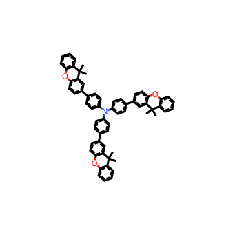 CC1(C)c2ccccc2Oc2ccc(-c3ccc(N(c4ccc(-c5ccc6c(c5)C(C)(C)c5ccccc5O6)cc4)c4ccc(-c5ccc6c(c5)C(C)(C)c5ccccc5O6)cc4)cc3)cc21